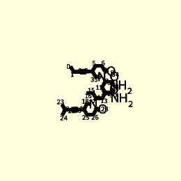 CCC#CC1CCC(=O)N(C(CC(CC(CC)N2CC(C#CC(C)C)CCC2=O)C(N)=O)C(N)=O)C1